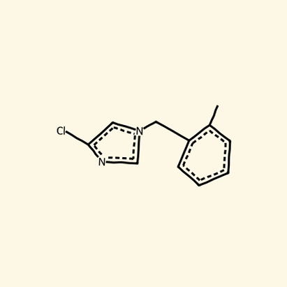 Cc1ccccc1Cn1cnc(Cl)c1